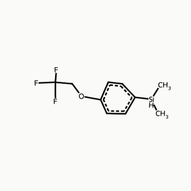 C[SiH](C)c1ccc(OCC(F)(F)F)cc1